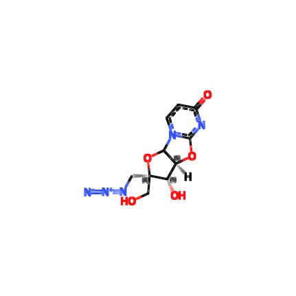 [N-]=[N+]=NC[C@]1(CO)OC2[C@@H](Oc3nc(=O)ccn32)[C@@H]1O